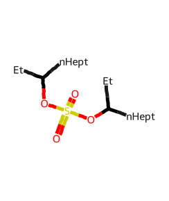 CCCCCCCC(CC)OS(=O)(=O)OC(CC)CCCCCCC